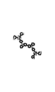 C1=NC=C(c2nc(C3=CCCN=C3)nc(-c3ccc(-n4c5ccccc5c5cc(-c6ccc7c(c6)c6ccccc6n7-c6ccc(-c7nc(-c8cccnc8)nc(-c8cccnc8)n7)cc6)ccc54)cc3)n2)CC1